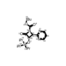 CC(C)[Si](O[C@H]1C(=O)N(C(=O)OC(C)(C)C)[C@H]1c1ncccn1)(C(C)C)C(C)C